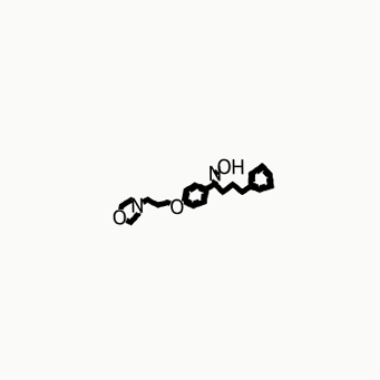 ON=C(CCCc1ccccc1)c1ccc(OCCCN2CCOCC2)cc1